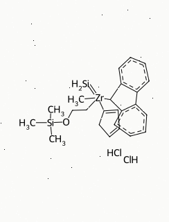 C[Si](C)(C)OC[CH2][Zr]([CH3])(=[SiH2])([C]1=CC=CC1)[CH]1c2ccccc2-c2ccccc21.Cl.Cl